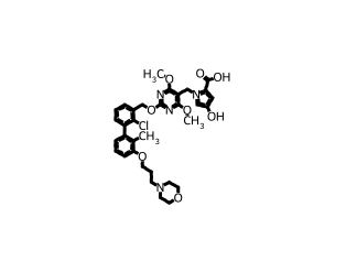 COc1nc(OCc2cccc(-c3cccc(OCCCN4CCOCC4)c3C)c2Cl)nc(OC)c1Cn1cc(O)cc1C(=O)O